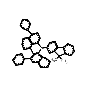 CC1(C)c2ccccc2-c2ccc(N(c3ccc(-c4ccccc4)cc3)c3c(-c4ccccc4)c(-c4ccccc4)cc4ccccc34)cc21